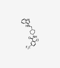 O=C(N[C@H]1CC[C@H](CNc2cnn3ccccc23)CC1)c1cc(C(F)(F)F)ccc1Cl